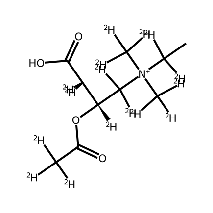 [2H]C([2H])([2H])C(=O)O[C@]([2H])(C([2H])([2H])C(=O)O)C([2H])([2H])[N+](C([2H])([2H])[2H])(C([2H])([2H])[2H])C([2H])([2H])C